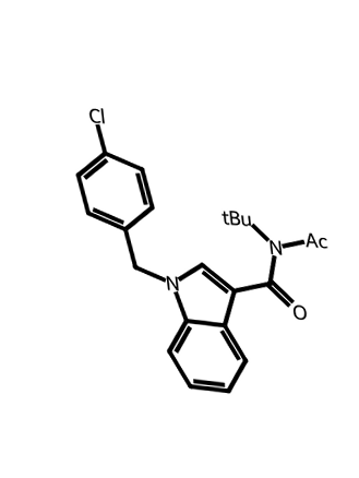 CC(=O)N(C(=O)c1cn(Cc2ccc(Cl)cc2)c2ccccc12)C(C)(C)C